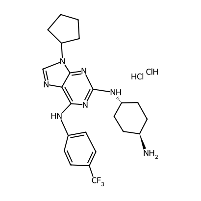 Cl.Cl.N[C@H]1CC[C@H](Nc2nc(Nc3ccc(C(F)(F)F)cc3)c3ncn(C4CCCC4)c3n2)CC1